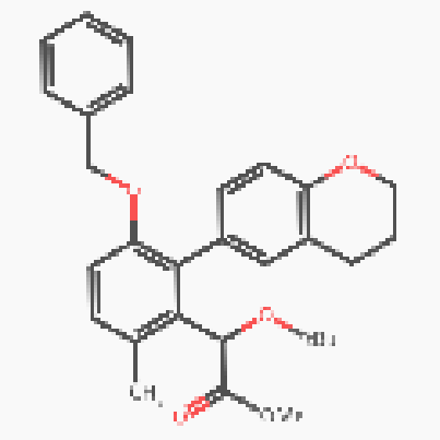 COC(=O)C(OC(C)(C)C)c1c(C)ccc(OCc2ccccc2)c1-c1ccc2c(c1)CCCO2